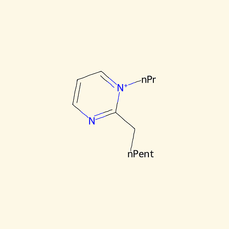 CCCCCCc1nccc[n+]1CCC